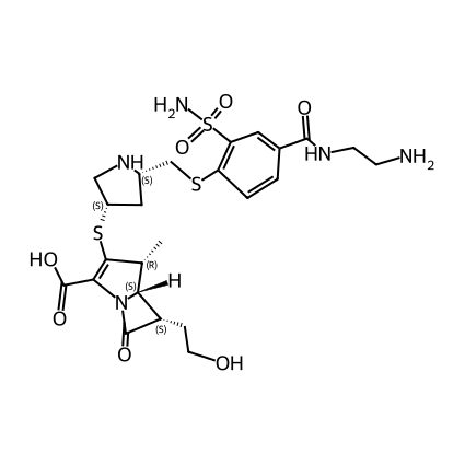 C[C@H]1C(S[C@@H]2CN[C@H](CSc3ccc(C(=O)NCCN)cc3S(N)(=O)=O)C2)=C(C(=O)O)N2C(=O)[C@@H](CCO)[C@@H]12